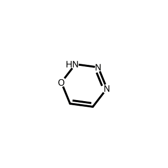 C1=CONN=N1